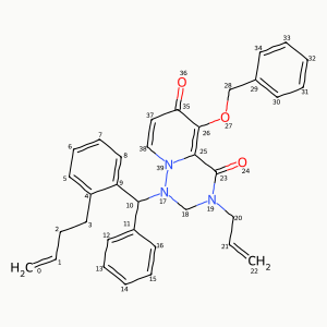 C=CCCc1ccccc1C(c1ccccc1)N1CN(CC=C)C(=O)c2c(OCc3ccccc3)c(=O)ccn21